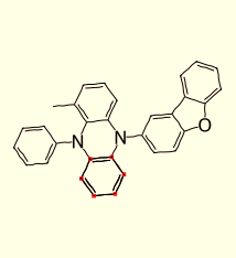 Cc1cccc(N(c2ccccc2)c2ccc3oc4ccccc4c3c2)c1N(c1ccccc1)c1ccccc1